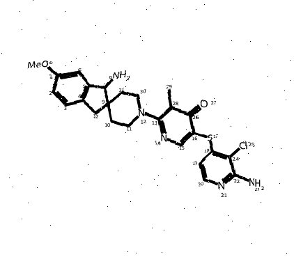 COc1ccc2c(c1)C(N)C1(CCN(C3=NC=C(Sc4ccnc(N)c4Cl)C(=O)C3C)CC1)C2